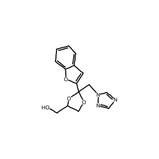 OCC1COC(Cn2cncn2)(c2cc3ccccc3o2)O1